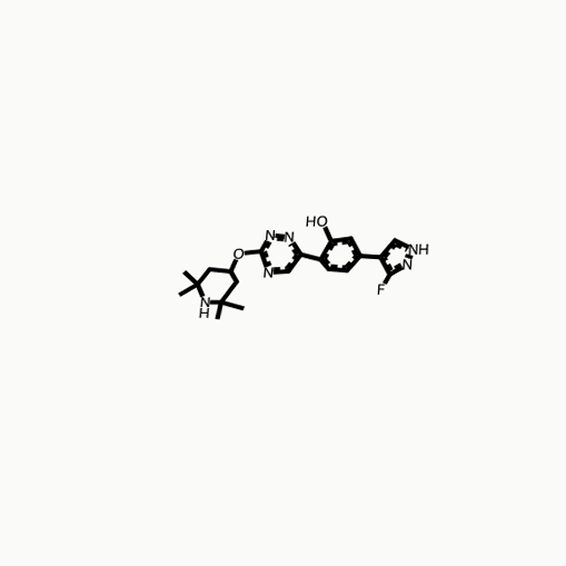 CC1(C)CC(Oc2ncc(-c3ccc(-c4c[nH]nc4F)cc3O)nn2)CC(C)(C)N1